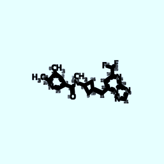 Cc1cc(C(=O)N(C)C2CC(=Cc3cc(C(F)F)nc4ncnn34)C2)cnc1C